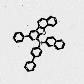 c1ccc(-c2ccc(N(c3ccc4ccccc4c3)c3cc(-c4ccccc4)cc4c3oc3c5ccccc5ccc43)cc2)cc1